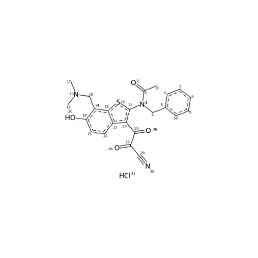 CC(=O)N(Cc1ccccc1)c1sc2c(CN(C)C)c(O)ccc2c1C(=O)C(=O)C#N.Cl